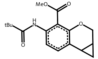 COC(=O)c1c(NC(=O)C(C)(C)C)ccc2c1OCC1CC21